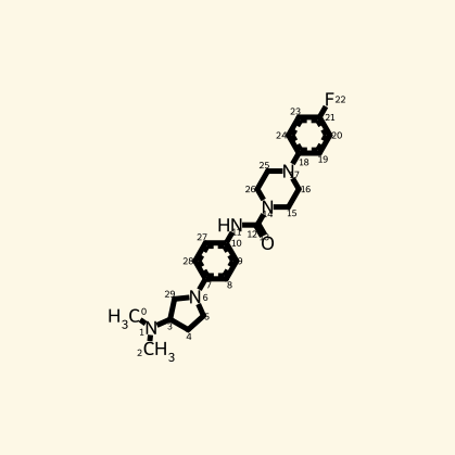 CN(C)C1CCN(c2ccc(NC(=O)N3CCN(c4ccc(F)cc4)CC3)cc2)C1